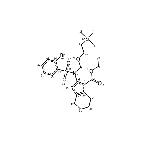 CCOC(=O)c1c(N(COCC[Si](C)(C)C)S(=O)(=O)c2ccccc2Br)sc2c1CCCC2